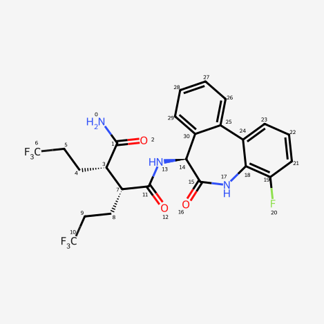 NC(=O)[C@@H](CCC(F)(F)F)[C@@H](CCC(F)(F)F)C(=O)N[C@@H]1C(=O)Nc2c(F)cccc2-c2ccccc21